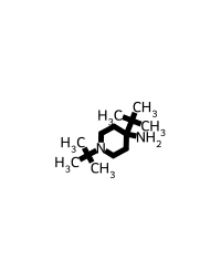 CC(C)(C)N1CCC(N)(C(C)(C)C)CC1